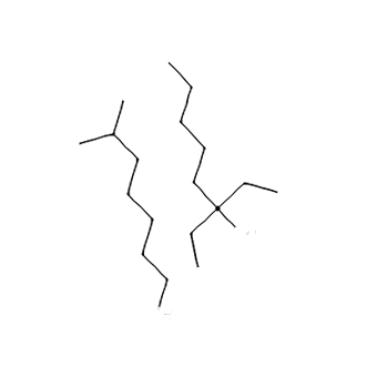 CC(C)CCCCCO.CCCCCC(O)(CC)CC